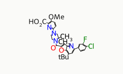 COc1ccc(N2CCN(C(=O)c3cc4nc(-c5ccc(Cl)c(F)c5)cc(C(C)(C)C)c4o3)C(C)(C)C2)nc1C(=O)O